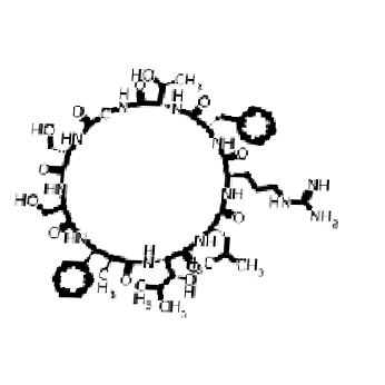 CC(C)C[C@@H]1NC(=O)[C@H]([C@H](O)C(C)C)NC(=O)[C@@H](C)[C@@H](c2ccccc2)NC(=O)C(CO)NC(=O)[C@H](CO)NC(=O)CNC(=O)[C@H]([C@H](C)O)NC(=O)[C@H](Cc2ccccc2)NC(=O)[C@@H](CCCNC(=N)N)NC1=O